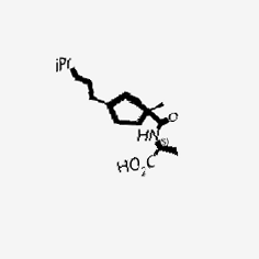 CC(C)CCC[C@H]1CC[C@](C)(C(=O)N[C@@H](C)C(=O)O)CC1